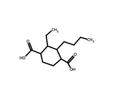 CCCCC1C(C(=O)O)CCC(C(=O)O)C1CC